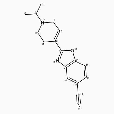 CC(C)N1CC=C(c2nc3cc(C#N)ccc3o2)CC1